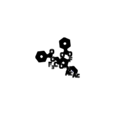 CC(=O)/C=C\N(C(C)=O)[C@@H]1O[C@@](COC(=O)c2ccccc2)(C(F)(F)F)[C@@H](OC(=O)c2ccccc2)[C@H]1F